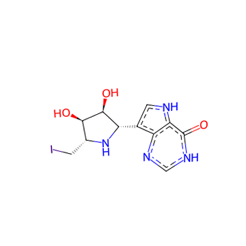 O=c1[nH]cnc2c([C@@H]3N[C@H](CI)[C@@H](O)[C@H]3O)c[nH]c12